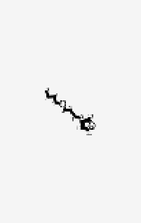 CCCCOCCCC.c1ccoc1